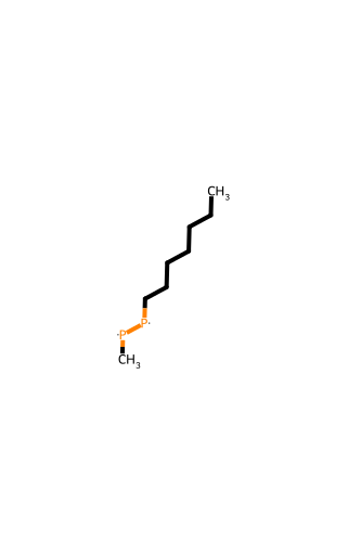 CCCCCCC[P][P]C